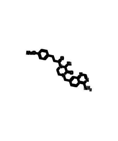 CCC1C(=O)N(Cc2ccc3c(N)ncnc3c2)CCN1C(=O)CCc1ccc(OC)cc1